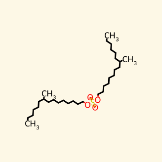 CCCCCCC(C)CCCCCCCCOS(=O)(=O)OCCCCCCCCC(C)CCCCCC